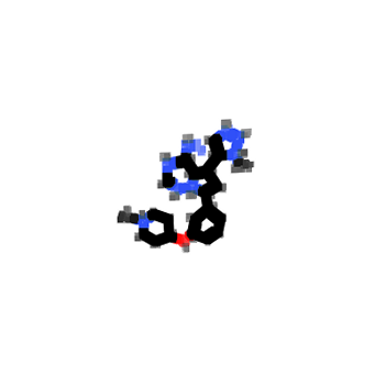 CC(=O)N1CCC(Oc2cccc(-c3cc(-c4cnnn4C(C)C)c4c(N)ncnn34)c2)CC1